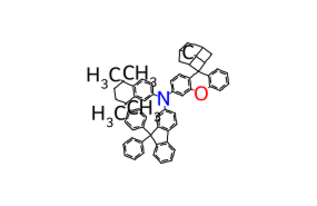 CC1(C)CCC(C)(C)c2cc(N(c3ccc4c(c3)Oc3ccccc3C43C4CC5CC6CC3C64C5)c3ccc4c(c3)C(c3ccccc3)(c3ccccc3)c3ccccc3-4)ccc21